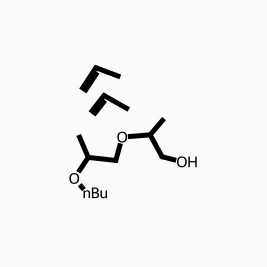 C=CC.C=CC.CCCCOC(C)COC(C)CO